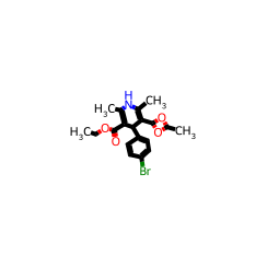 CCOC(=O)C1=C(C)NC(C)=C(C2OC(C)O2)C1c1ccc(Br)cc1